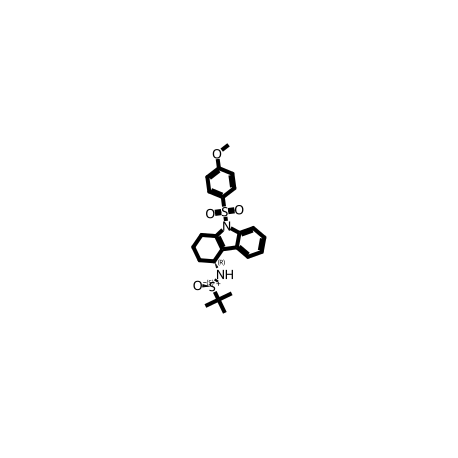 COc1ccc(S(=O)(=O)n2c3c(c4ccccc42)[C@H](N[S@+]([O-])C(C)(C)C)CCC3)cc1